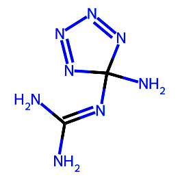 NC(N)=NC1(N)N=NN=N1